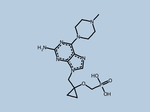 CN1CCN(c2nc(N)nc3c2ncn3CC2(OCP(=O)(O)O)CC2)CC1